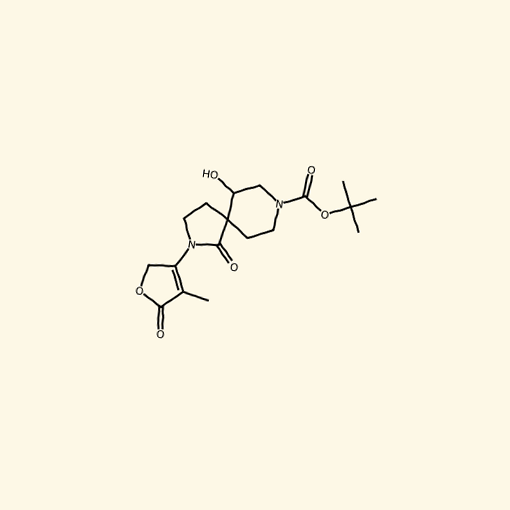 CC1=C(N2CCC3(CCN(C(=O)OC(C)(C)C)CC3O)C2=O)COC1=O